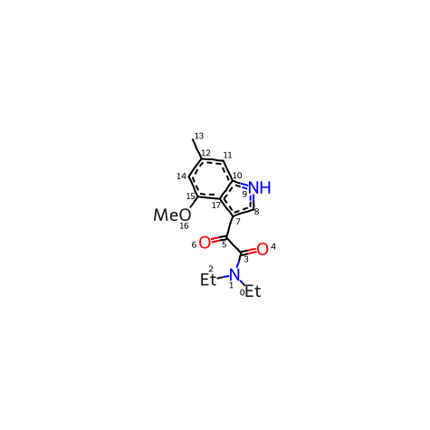 CCN(CC)C(=O)C(=O)c1c[nH]c2cc(C)cc(OC)c12